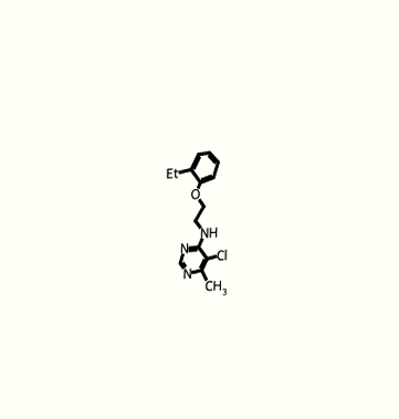 CCc1ccccc1OCCNc1ncnc(C)c1Cl